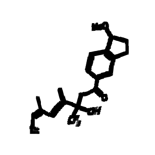 CC/C=C(C)\C=C(/C)C(O)(CC(=O)c1ccc2c(c1)CCC2OC)C(F)(F)F